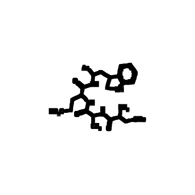 CSCC(N)C(=O)NC(C)C(=O)NC(CCC(=O)O)C(=O)NC(CC1CNc2ccccc21)C(C)=O